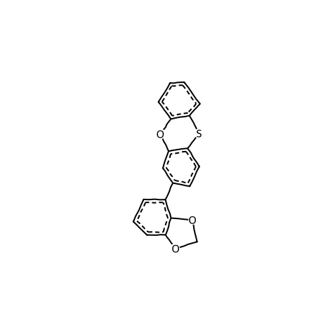 c1ccc2c(c1)Oc1cc(-c3cccc4c3OCO4)ccc1S2